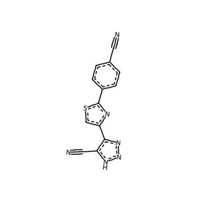 N#Cc1ccc(-c2nc(-c3nn[nH]c3C#N)cs2)cc1